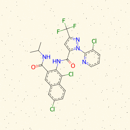 CC(C)NC(=O)c1cc2cc(Cl)ccc2c(Cl)c1NC(=O)c1cc(C(F)(F)F)nn1-c1ncccc1Cl